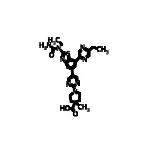 CCc1cnc(-c2cc(-c3cnc(N4CCC(C)(C(=O)O)CC4)nc3)cc3nc(N(CC)C(N)=O)sc23)cn1